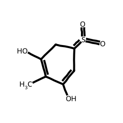 CC1=C(O)CC(=S(=O)=O)C=C1O